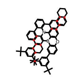 CC(C)(C)c1cc(-c2ccc3c(c2)B2c4cc(-c5cc(C(C)(C)C)cc(C(C)(C)C)c5)ccc4N(c4c(-c5cccc(C6CCCCC6)c5)cccc4-c4cccc(C5CCCCC5)c4)c4cc(-c5ccccc5)cc(c42)O3)cc(C(C)(C)C)c1